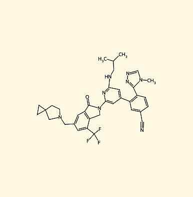 CC(C)CNc1cc(-c2cc(C#N)ccc2-c2nncn2C)cc(N2Cc3c(cc(CN4CCC5(CC5)C4)cc3C(F)(F)F)C2=O)n1